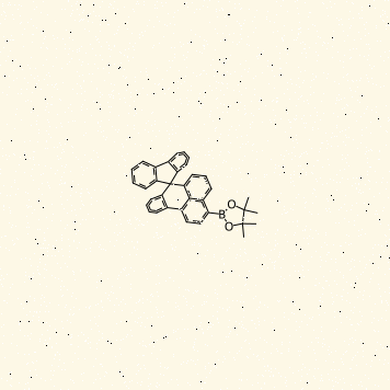 CC1(C)OB(c2ccc3c4c(cccc24)C2(c4ccccc4-c4ccccc42)c2ccccc2-3)OC1(C)C